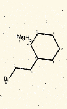 BrCCC1CCCCC1.[MgH2]